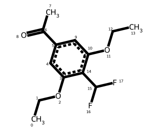 CCOc1cc(C(C)=O)cc(OCC)c1C(F)F